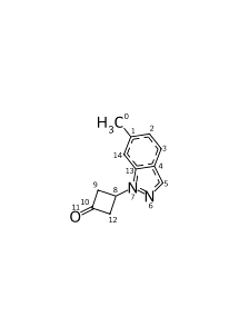 Cc1ccc2cnn(C3CC(=O)C3)c2c1